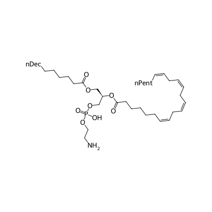 CCCCC/C=C\C/C=C\C/C=C\C/C=C\CCCCCC(=O)O[C@H](COC(=O)CCCCCCCCCCCCCCC)COP(=O)(O)OCCN